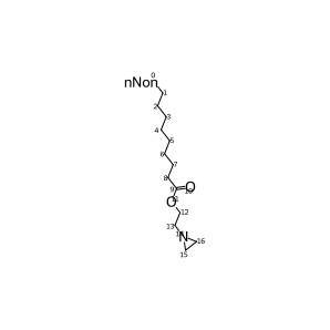 CCCCCCCCCCCCCCCCCC(=O)OCCN1CC1